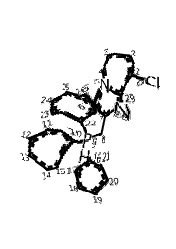 Clc1cccn2cc(C[PH](c3ccccc3)(c3ccccc3)c3ccccc3)nc12